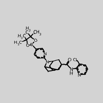 CC1(C)OB(c2ccc(N3C4CC5CC3CC(C(=O)Nc3ncccc3Cl)(C5)C4)nc2)OC1(C)C